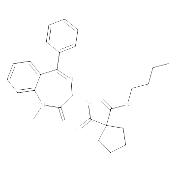 CCCCNC(=O)C1(C(=O)N[C@H]2N=C(c3ccccc3)c3ccccc3N(C)C2=O)CCCC1